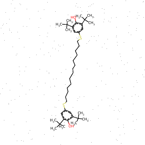 CC(C)(C)c1cc(SCCCCCCCCCCCCCCSc2cc(C(C)(C)C)c(O)c(C(C)(C)C)c2)cc(C(C)(C)C)c1O